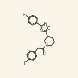 O=C(Cc1ccc(F)cc1)N1CCC[C@H](c2nc(-c3ccc(F)cc3)no2)C1